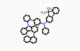 CC1(C)c2ccccc2-c2ccc(N(c3ccccc3)c3ccc(-c4ccccc4-n4c5ccccc5c5c(-c6cccc7ccccc67)cccc54)cc3)cc21